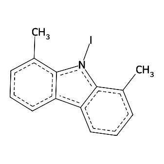 Cc1cccc2c3cccc(C)c3n(I)c12